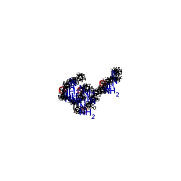 Cc1cc(C(=O)Nc2ccccc2N)ccc1Cn1ncc(-c2ccccc2)c1C.N#Cc1ccn(Cc2ccc(C(=O)Nc3ccccc3N)cc2)n1.Nc1ccccc1NC(=O)c1ccc(Cn2cc(-c3ccccc3)cn2)cc1.Nc1ccccc1NC(=O)c1ccc(Cn2nccc2-c2ccccn2)cc1